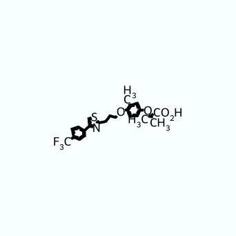 Cc1cc(OC(C)(C)C(=O)O)ccc1OCCCc1nc(-c2ccc(C(F)(F)F)cc2)cs1